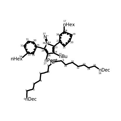 CCCCCCCCCCCCCCCC[CH2][Ni][CH2]CCCCCCCCCCCCCCCC.CCCCCCc1cccc(C2=C(CCCC)C(CCCCC)=C(c3cccc(CCCCCC)c3)[N+]2=[N-])c1